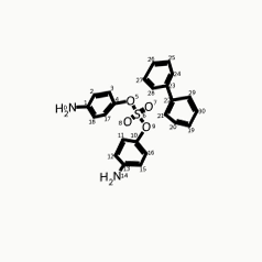 Nc1ccc(OS(=O)(=O)Oc2ccc(N)cc2)cc1.c1ccc(-c2ccccc2)cc1